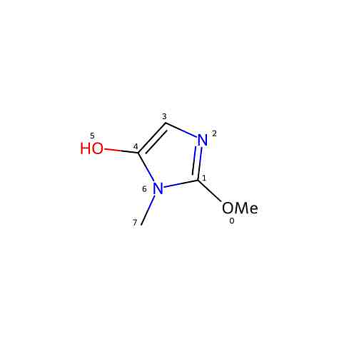 COc1ncc(O)n1C